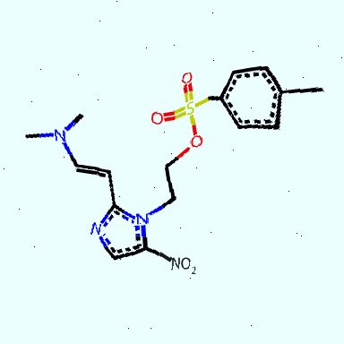 Cc1ccc(S(=O)(=O)OCCn2c([N+](=O)[O-])cnc2C=CN(C)C)cc1